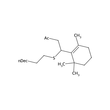 CCCCCCCCCCCCSC(CC(C)=O)C1=C(C)CCCC1(C)C